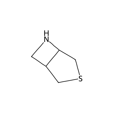 C1NC2CSCC12